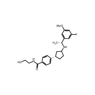 COc1cc(F)cc([C@@H](C)NC2CC[C@H](c3ccc(C(=O)NCCO)cc3)C2)c1